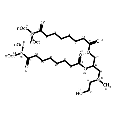 CCCCCCCCN(CCCCCCCC)C(=O)CCCCCCC(=O)OCC(CN(C)CCO)OC(=O)CCCCCCC(=O)N(CCCCCCCC)CCCCCCCC